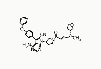 CN(C/C=C/C(=O)N1CC[C@@H](n2c(C#N)c(-c3ccc(Oc4ccccc4)cc3)c3c(N)ncnc32)C1)[C@@H]1CCOC1